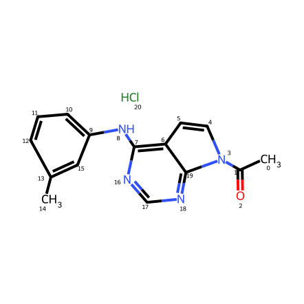 CC(=O)n1ccc2c(Nc3cccc(C)c3)ncnc21.Cl